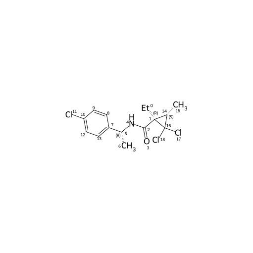 CC[C@]1(C(=O)N[C@H](C)c2ccc(Cl)cc2)[C@H](C)C1(Cl)Cl